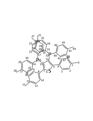 Cc1ccc(-c2sc(-c3ccc(C)cc3)c(P(c3ccc(C)cc3)c3ccc(C)cc3)c2P(c2ccc(C)cc2)c2ccc(C)cc2)cc1